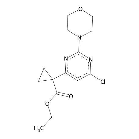 CCOC(=O)C1(c2cc(Cl)nc(N3CCOCC3)n2)CC1